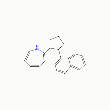 C1=CC=C(C2CCCC2c2cccc3ccccc23)NC=C1